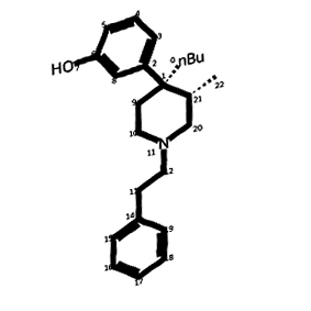 CCCC[C@@]1(c2cccc(O)c2)CCN(CCc2ccccc2)C[C@H]1C